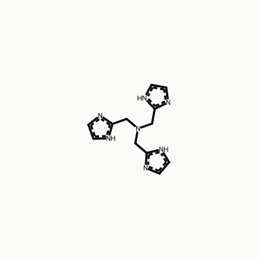 c1c[nH]c(CN(Cc2ncc[nH]2)Cc2ncc[nH]2)n1